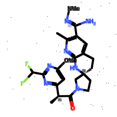 CN/N=C(\N)c1cc2c(nc1C)N[C@@]1(CC2)CCN(C(=O)[C@@H](C)c2cc(OC)nc(C(F)F)n2)C1